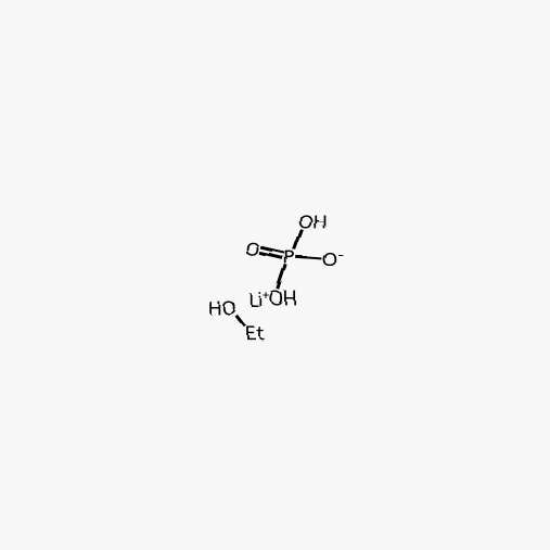 CCO.O=P([O-])(O)O.[Li+]